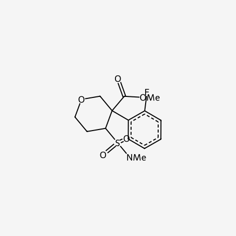 CNS(=O)(=O)C1CCOCC1(C(=O)OC)c1ccccc1F